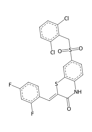 O=C1Nc2ccc(S(=O)(=O)Cc3c(Cl)cccc3Cl)cc2S/C1=C\c1ccc(F)cc1F